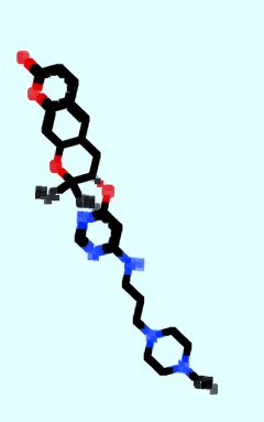 CN1CCN(CCCNc2cc(O[C@H]3CC4C=c5ccc(=O)oc5=CC4OC3(C)C)ncn2)CC1